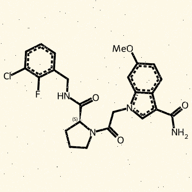 COc1ccc2c(C(N)=O)cn(CC(=O)N3CCC[C@H]3C(=O)NCc3cccc(Cl)c3F)c2c1